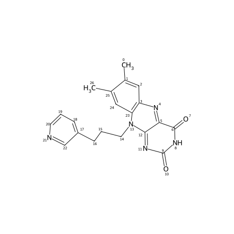 Cc1cc2nc3c(=O)[nH]c(=O)nc-3n(CCCc3cccnc3)c2cc1C